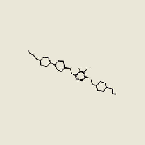 CCCCC1CCC(C2CCC(CCc3ccc(OCC4CCC(CCC)CC4)c(F)c3F)CC2)CC1